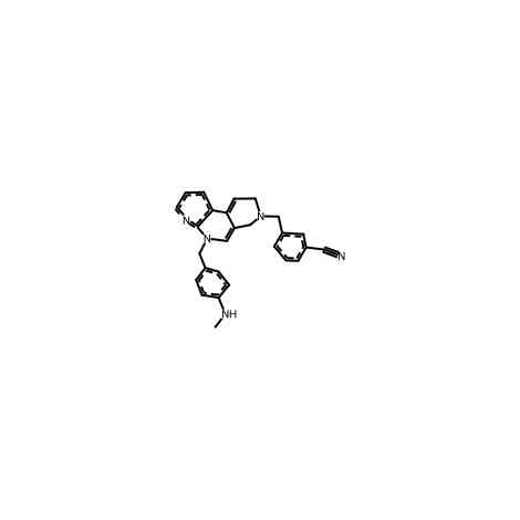 CNc1ccc(CN2C=C3CN(Cc4cccc(C#N)c4)CC=C3c3cccnc32)cc1